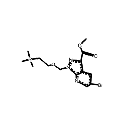 COC(=O)c1nn(COCCS(C)(C)C)c2ncc(Br)cc12